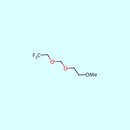 COCCOCOCC(F)(F)F